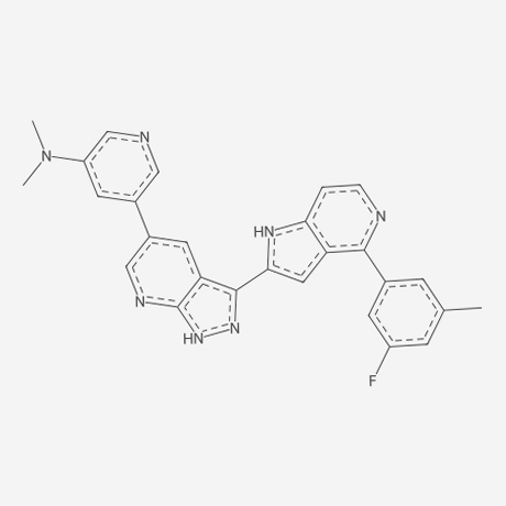 Cc1cc(F)cc(-c2nccc3[nH]c(-c4n[nH]c5ncc(-c6cncc(N(C)C)c6)cc45)cc23)c1